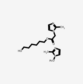 CC(=O)On1ccnc1C.Cc1nccn1CC(=O)OCCCCCCO